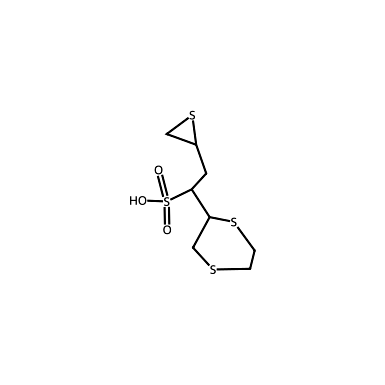 O=S(=O)(O)C(CC1CS1)C1CSCCS1